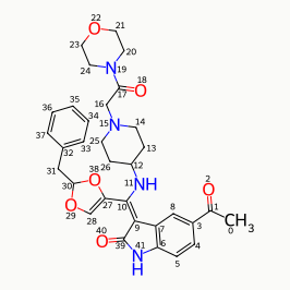 CC(=O)c1ccc2c(c1)C(=C(NC1CCN(CC(=O)N3CCOCC3)CC1)C1=COC(Cc3ccccc3)O1)C(=O)N2